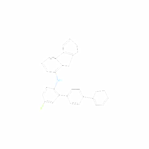 Fc1ccc(Nc2cccc3c2CC2=C3C=CCC2)c(-c2ccc(C3=CC=CCC3)cc2)c1